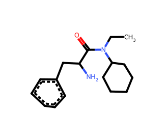 CCN(C(=O)C(N)Cc1ccccc1)C1CCCCC1